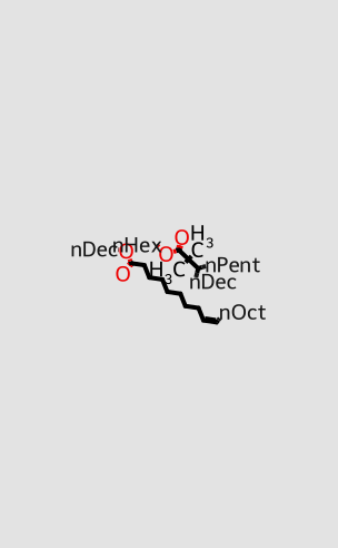 CCCCCCCC/C=C\CCCCCCCC(=O)OCCCCCCCCCC.CCCCCCCCCCC(CCCCC)C(C)(C)C(=O)OCCCCCC